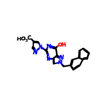 O=C(O)c1cnn(-c2nc(O)c3nn(Cc4ccc5ccccc5c4)cc3n2)c1